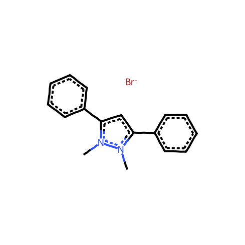 Cn1c(-c2ccccc2)cc(-c2ccccc2)[n+]1C.[Br-]